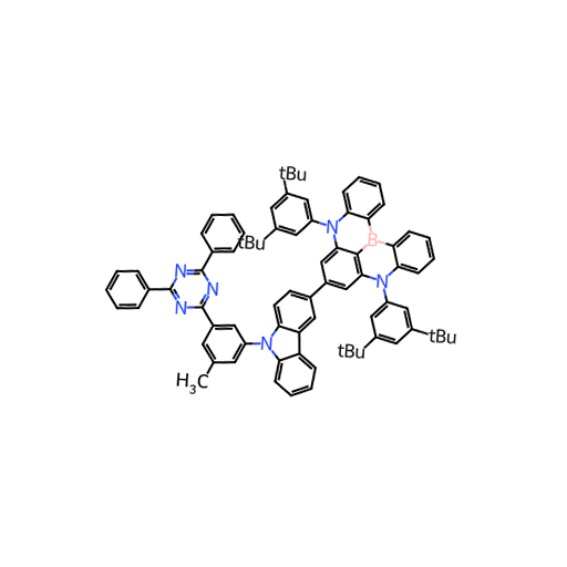 Cc1cc(-c2nc(-c3ccccc3)nc(-c3ccccc3)n2)cc(-n2c3ccccc3c3cc(-c4cc5c6c(c4)N(c4cc(C(C)(C)C)cc(C(C)(C)C)c4)c4ccccc4B6c4ccccc4N5c4cc(C(C)(C)C)cc(C(C)(C)C)c4)ccc32)c1